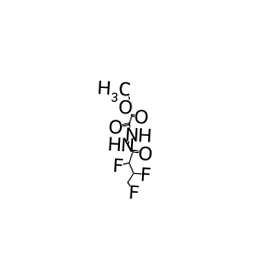 CCOC(=O)C(=O)NNC(=O)C(F)C(F)CF